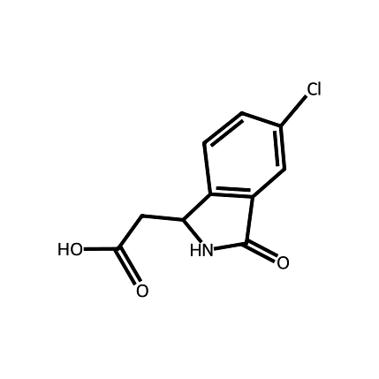 O=C(O)CC1NC(=O)c2cc(Cl)ccc21